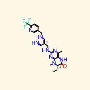 CC[C@H]1C(=O)Nc2c(C)nc(NC/C(C=N)=C/NCc3ccc(C(F)(F)F)nc3)nc2N1C